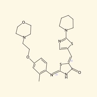 Cc1cc(OCCN2CCOCC2)ccc1/N=C1/NC(=O)/C(=C/c2cnc(N3CCCCC3)s2)S1